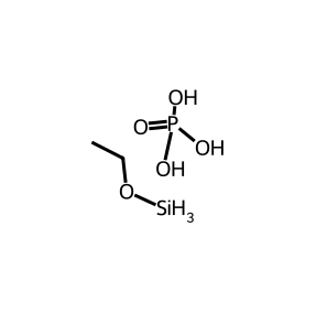 CCO[SiH3].O=P(O)(O)O